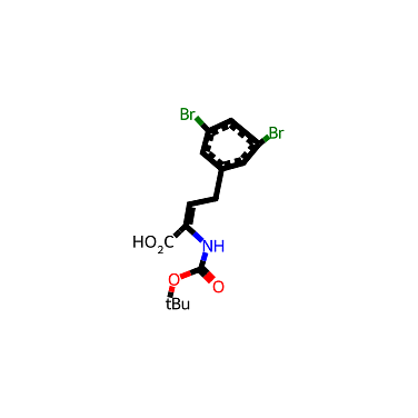 CC(C)(C)OC(=O)NC(=CCc1cc(Br)cc(Br)c1)C(=O)O